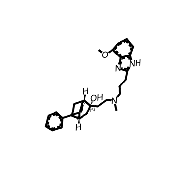 COc1cccc2[nH]c(CCCN(C)CC[C@@]3(O)C[C@@H]4CC[C@H]3C=C4c3ccccc3)nc12